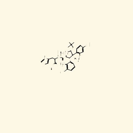 COC(=O)C(Cc1cscn1)NC(=O)[C@@H]1N[C@@H](CC(C)(C)C)[C@](C#N)(c2ccc(Cl)cc2F)[C@H]1c1cccc(Cl)c1F